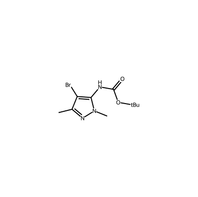 Cc1nn(C)c(NC(=O)OC(C)(C)C)c1Br